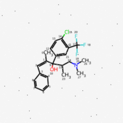 C/C(=C/c1ccccc1)C(O)(c1ccc(Cl)c(C(F)(F)F)c1)C(C)CN(C)C